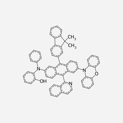 CC1(C)c2ccccc2-c2ccc(-c3c4cc(N(c5ccccc5)c5ccccc5O)ccc4c(-c4nccc5ccccc45)c4cc(N5c6ccccc6Oc6ccccc65)ccc34)cc21